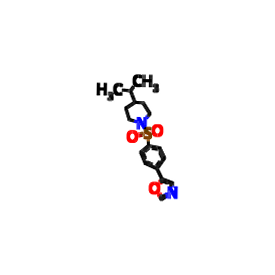 CC(C)C1CCN(S(=O)(=O)c2ccc(-c3cnco3)cc2)CC1